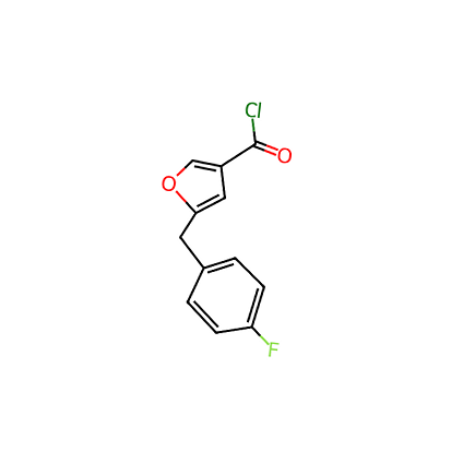 O=C(Cl)c1coc(Cc2ccc(F)cc2)c1